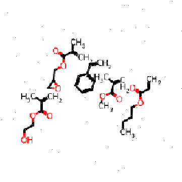 C=C(C)C(=O)OC.C=C(C)C(=O)OCC1CO1.C=C(C)C(=O)OCCO.C=CC(=O)OCCCC.C=Cc1ccccc1